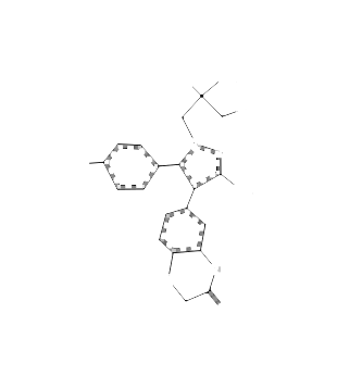 Cc1nn(CC(C)(F)CO)c(-c2ccc(F)cc2)c1-c1ccc2c(c1)NC(=O)CO2